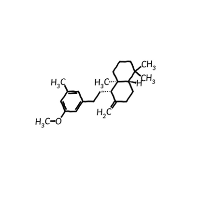 C=C1CC[C@H]2C(C)(C)CCC[C@]2(C)[C@H]1CCc1cc(C)cc(OC)c1